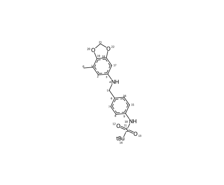 Cc1cc(NCc2ccc(NS(=O)(=O)C(C)(C)C)cc2)cc2c1OCO2